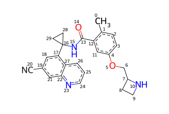 Cc1ccc(OCC2CCN2)cc1C(=O)NC1(c2cc(C#N)cc3ncccc23)CC1